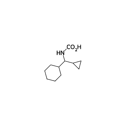 O=C(O)NC(C1CCCCC1)C1CC1